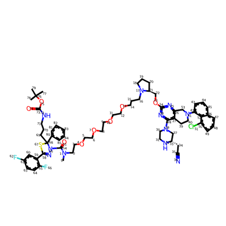 CN(CCOCCOCCOCCOCCCN1CCC[C@H]1COc1nc2c(c(N3CCN[C@@H](CC#N)C3)n1)CCN(c1cccc3cccc(Cl)c13)C2)C(=O)N1N=C(c2cc(F)ccc2F)SC1(CCCNC(=O)OC(C)(C)C)c1ccccc1